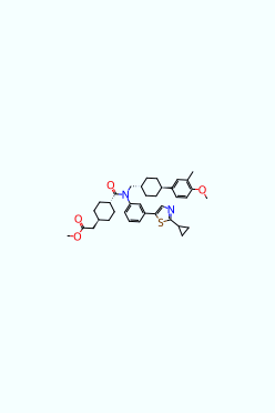 COC(=O)C[C@H]1CC[C@H](C(=O)N(C[C@H]2CC[C@H](c3ccc(OC)c(C)c3)CC2)c2cccc(-c3cnc(C4CC4)s3)c2)CC1